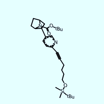 CC(C)(C)OC(=O)N1C2CCC1C(c1ccc(C#CCCCCO[Si](C)(C)C(C)(C)C)nc1)C2